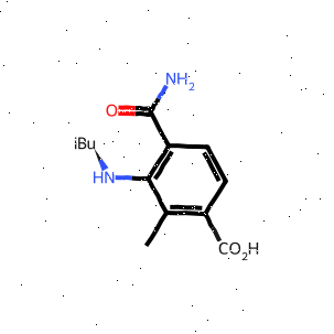 CC[C@H](C)Nc1c(C(N)=O)ccc(C(=O)O)c1C